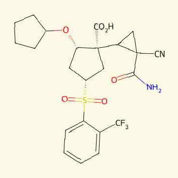 N#CC1(C(N)=O)CC1[C@@]1(C(=O)O)C[C@H](S(=O)(=O)c2ccccc2C(F)(F)F)C[C@@H]1OC1CCCC1